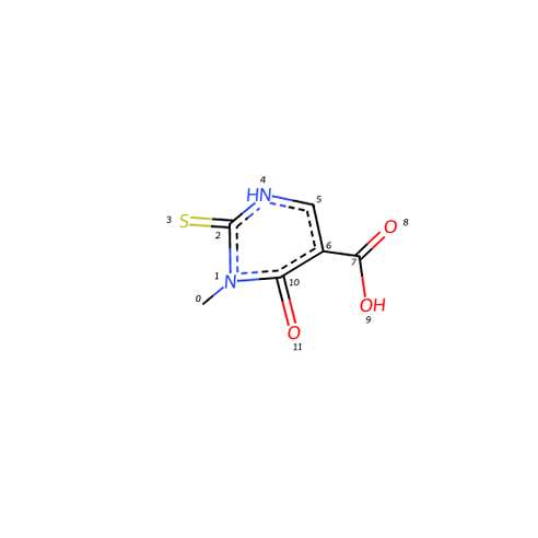 Cn1c(=S)[nH]cc(C(=O)O)c1=O